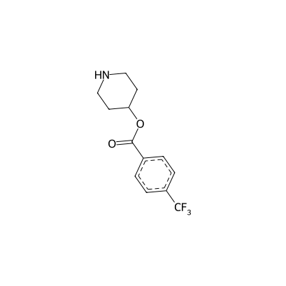 O=C(OC1CCNCC1)c1ccc(C(F)(F)F)cc1